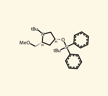 COC[C@H]1C[C@@H](O[Si](c2ccccc2)(c2ccccc2)C(C)(C)C)CN1C(C)(C)C